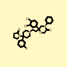 O=C1COC(CCN2CCC(c3cccc(F)c3)(N3CCCC3=O)CC2)(c2ccc(Cl)c(Cl)c2)CN1c1ccccc1